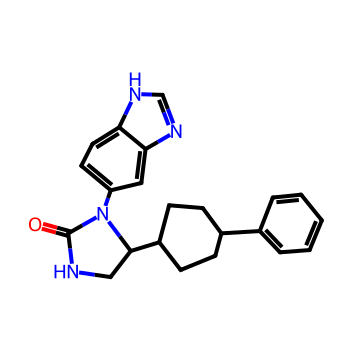 O=C1NCC(C2CCC(c3ccccc3)CC2)N1c1ccc2[nH]cnc2c1